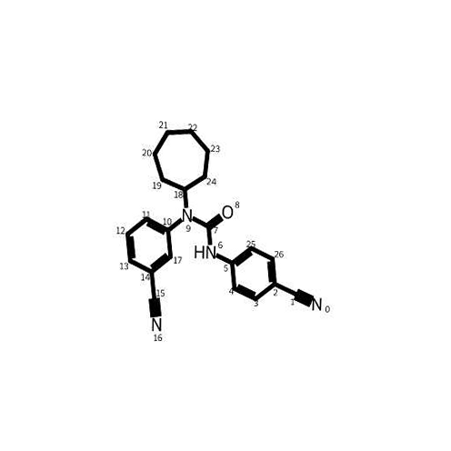 N#Cc1ccc(NC(=O)N(c2cccc(C#N)c2)C2CCCCCC2)cc1